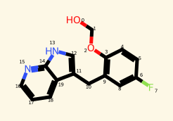 OCOc1ccc(F)cc1Cc1c[nH]c2ncccc12